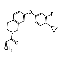 C=CC(=O)N1CCc2ccc(Oc3ccc(C4CC4)c(F)c3)cc2C1